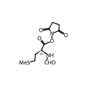 CSCC[C@H](NC=O)C(=O)ON1C(=O)CCC1=O